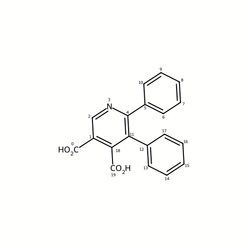 O=C(O)c1cnc(-c2ccccc2)c(-c2ccccc2)c1C(=O)O